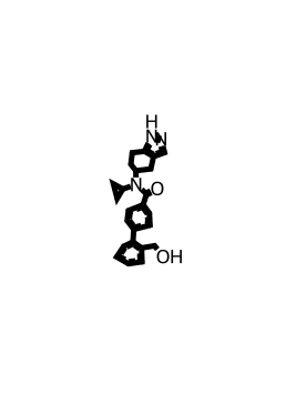 O=C(c1ccc(-c2ccccc2CO)cc1)N(C1CC1)C1CCc2[nH]ncc2C1